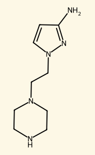 Nc1ccn(CCN2CCNCC2)n1